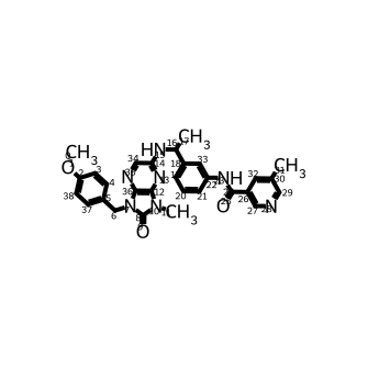 COc1ccc(Cn2c(=O)n(C)c3nc(NC(C)c4cccc(NC(=O)c5cncc(C)c5)c4)cnc32)cc1